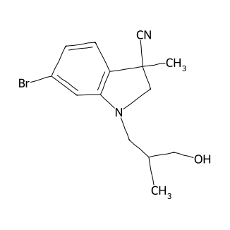 CC(CO)CN1CC(C)(C#N)c2ccc(Br)cc21